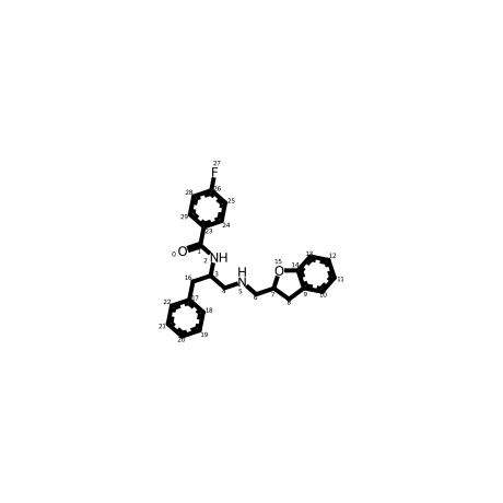 O=C(NC(CNCC1Cc2ccccc2O1)Cc1ccccc1)c1ccc(F)cc1